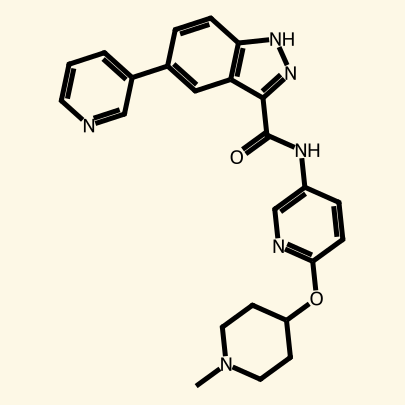 CN1CCC(Oc2ccc(NC(=O)c3n[nH]c4ccc(-c5cccnc5)cc34)cn2)CC1